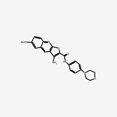 COc1ccc2nc3sc(C(=O)Nc4ccc(N5CCOCC5)cc4)c(N)c3cc2c1